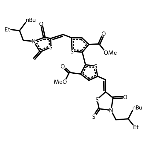 C=c1s/c(=C\c2cc(C(=O)OC)c(-c3sc(/C=C4\SC(=S)N(CC(CC)CCCC)C4=O)cc3C(=O)OC)s2)c(=O)n1CC(CC)CCCC